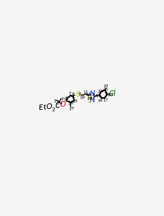 CCOC(=O)C(C)(C)Oc1ccc(SCCc2nc(-c3ccc(Cl)c(C)c3)ns2)cc1C